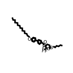 CCCCCCCCCCCCCCCOc1ccc(-c2ccc(C(=O)O[C@@H]3CC[C@@H](OCCCCCC)O[C@H]3C(F)(F)F)cc2)cc1